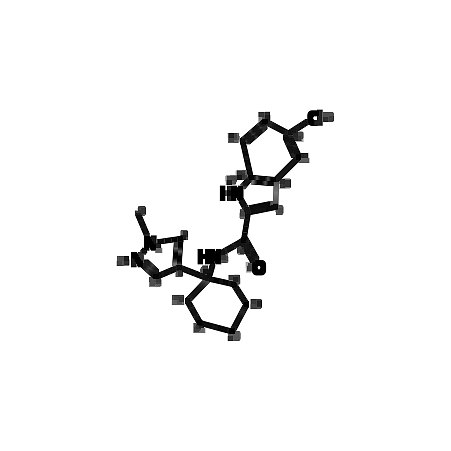 Cn1cc(C2(NC(=O)c3cc4cc(Cl)ccc4[nH]3)CCCCC2)cn1